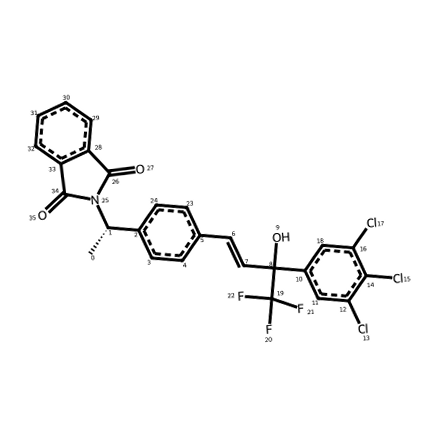 C[C@@H](c1ccc(/C=C/C(O)(c2cc(Cl)c(Cl)c(Cl)c2)C(F)(F)F)cc1)N1C(=O)c2ccccc2C1=O